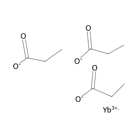 CCC(=O)[O-].CCC(=O)[O-].CCC(=O)[O-].[Yb+3]